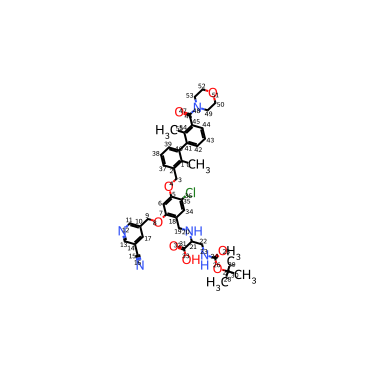 Cc1c(COc2cc(OCc3cncc(C#N)c3)c(CNC(CNC(=O)OC(C)(C)C)C(=O)O)cc2Cl)cccc1-c1cccc(C(=O)N2CCOCC2)c1C